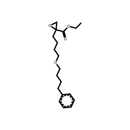 CCOC(=O)C1(CCCCOCCCCc2ccccc2)CO1